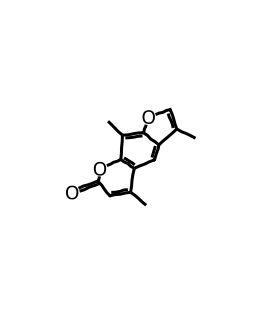 Cc1coc2c(C)c3oc(=O)cc(C)c3cc12